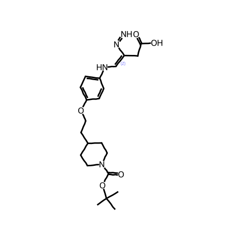 CC(C)(C)OC(=O)N1CCC(CCOc2ccc(N/C=C(/CC(=O)O)N=N)cc2)CC1